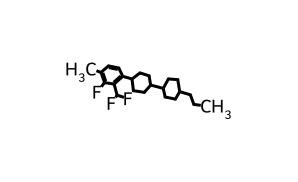 CCCC1CCC(C2CCC(c3ccc(C)c(F)c3C(F)F)CC2)CC1